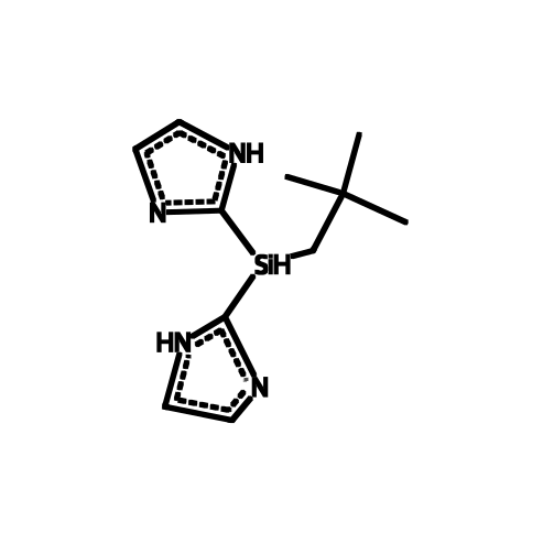 CC(C)(C)C[SiH](c1ncc[nH]1)c1ncc[nH]1